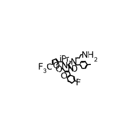 Cc1ccc(C(=O)N(CCCN)C(c2nc3c(oc4ccc(F)cc43)c(=O)n2Cc2ccc(C(F)(F)F)o2)C(C)C)cc1